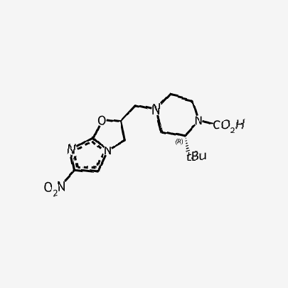 CC(C)(C)[C@@H]1CN(CC2Cn3cc([N+](=O)[O-])nc3O2)CCN1C(=O)O